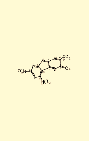 O=C1C=C2C(=Cc3cc([N+](=O)[O-])cc([N+](=O)[O-])c32)C=C1[N+](=O)[O-]